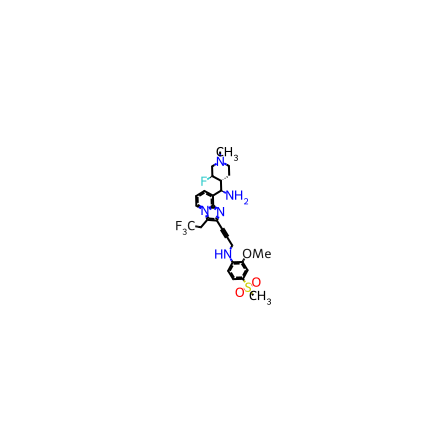 COc1cc(S(C)(=O)=O)ccc1NCC#Cc1nc2c([C@H](N)[C@H]3CCN(C)C[C@@H]3F)cccn2c1CC(F)(F)F